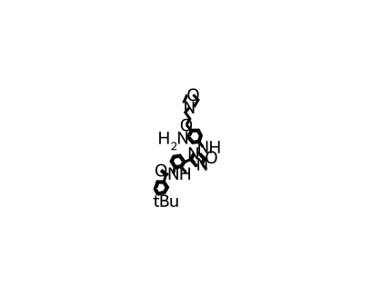 Cc1c(NC(=O)c2ccc(C(C)(C)C)cc2)cccc1-c1cn(C)c(=O)c(Nc2ccc(OCCN3CCOCC3)c(N)c2)n1